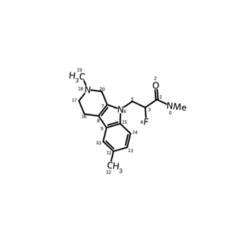 CNC(=O)C(F)Cn1c2c(c3cc(C)ccc31)CCN(C)C2